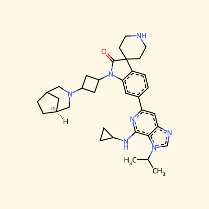 CC(C)n1cnc2cc(-c3ccc4c(c3)N(C3CC(N5CC6CC[C@@H](C6)C5)C3)C(=O)C43CCNCC3)nc(NC3CC3)c21